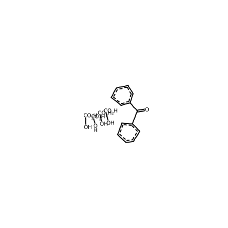 O=C(O)O.O=C(O)O.O=C(O)O.O=C(O)O.O=C(c1ccccc1)c1ccccc1